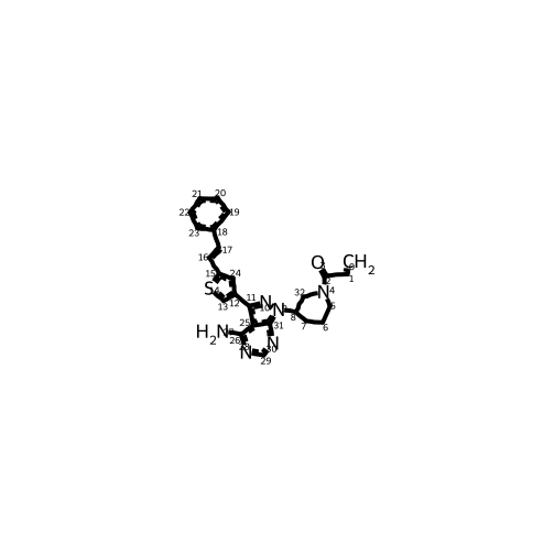 C=CC(=O)N1CCCC(n2nc(-c3csc(C=Cc4ccccc4)c3)c3c(N)ncnc32)C1